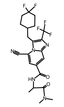 CC(NC(=O)c1cc(C#N)n2c(CC3CCC(F)(F)CC3)c(C(F)(F)F)nc2c1)C(=O)N(C)C